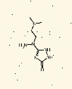 CN(C)CCN(N)c1nc(=O)[nH][nH]1